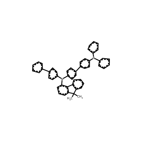 CC1(C)c2ccccc2-c2c(N(c3ccc(-c4ccccc4)cc3)c3ccc(-c4ccc(N(c5ccccc5)c5ccccc5)cc4)cc3)cccc21